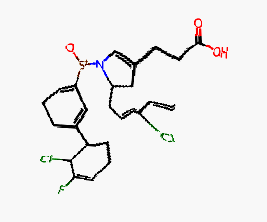 C=C/C(Cl)=C\CC1CC(CCC(=O)O)=CN1[S+]([O-])C1=CCCC(C2CCC=C(F)C2Cl)=C1